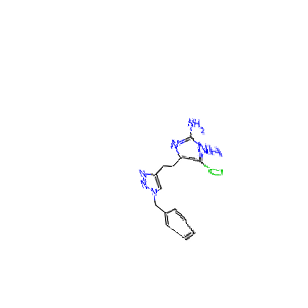 Nc1nc(CCc2cn(Cc3ccccc3)nn2)c(Cl)[nH]1